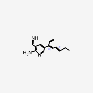 C=C/C(=C\C=C\CC)c1cnc(N)c(C=N)c1